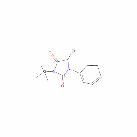 CCC1C(=O)N([Si](C)(C)C)C(=O)N1c1ccccc1